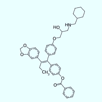 CC/C(=C(/c1ccc(OCC(O)CNCC2CCCCC2)cc1)c1ccc(OC(=O)c2ccccc2)cc1)c1ccc2c(c1)OCO2